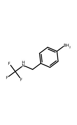 Bc1ccc(CNC(F)(F)F)cc1